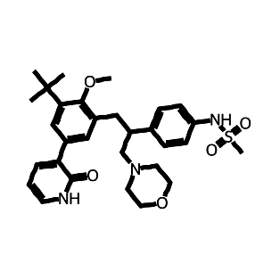 COc1c(CC(CN2CCOCC2)c2ccc(NS(C)(=O)=O)cc2)cc(-c2ccc[nH]c2=O)cc1C(C)(C)C